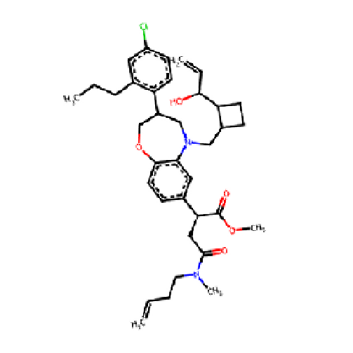 C=CCCN(C)C(=O)C[C@H](C(=O)OC)c1ccc2c(c1)N(CC1CCC1C(O)C=C)CC(c1ccc(Cl)cc1CCC)CO2